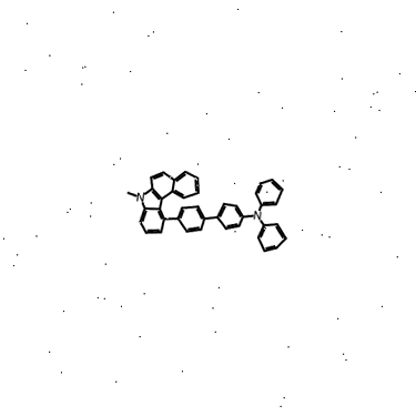 Cn1c2cccc(-c3ccc(-c4ccc(N(c5ccccc5)c5ccccc5)cc4)cc3)c2c2c3ccccc3ccc21